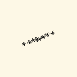 C=CC(=O)OCCCCOC(=O)Oc1ccc(C(=O)Oc2ccc(C(=O)O[C@H]3COC4C3OC[C@H]4OC(=O)c3ccc(OC(=O)OCCCCOC(=O)C=C)cc3)cc2)cc1